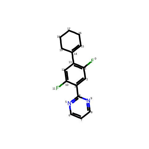 Fc1cc(-c2ncccn2)c(F)cc1C1=CCCCC1